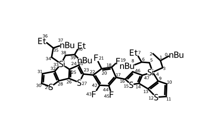 CCCCC(C)C[Si]1(CC(CC)CCCC)c2ccsc2-c2sc(-c3c(F)c(F)c(-c4cc5c(s4)-c4sccc4[Si]5(CC(CC)CCCC)CC(CC)CCCC)c(F)c3F)cc21